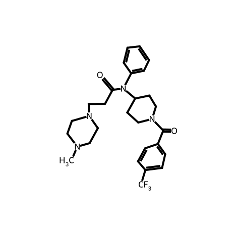 CN1CCN(CCC(=O)N(c2ccccc2)C2CCN(C(=O)c3ccc(C(F)(F)F)cc3)CC2)CC1